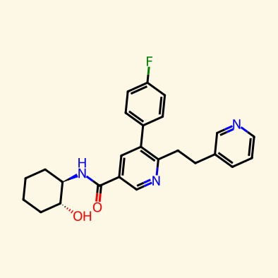 O=C(N[C@@H]1CCCC[C@H]1O)c1cnc(CCc2cccnc2)c(-c2ccc(F)cc2)c1